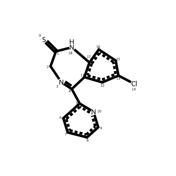 S=C1CN=C(c2ccccn2)c2cc(Cl)ccc2N1